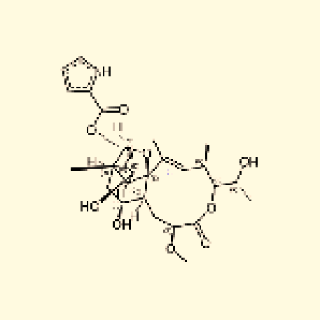 CO[C@H]1C[C@H]2[C@@H](O)C[C@H]3[C@H]4O[C@]2(/C(C)=C/[C@@H](C)[C@@H]([C@@H](C)O)OC1=O)[C@@H]3[C@H](O)[C@@H](C)[C@H]4OC(=O)c1ccc[nH]1